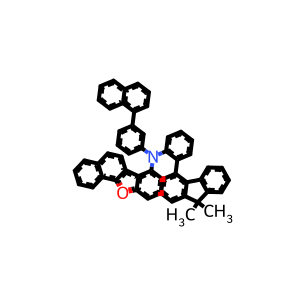 CC1(C)c2ccccc2-c2c(-c3ccccc3N(c3cccc(-c4cccc5ccccc45)c3)c3cccc4oc5c6ccccc6ccc5c34)cccc21